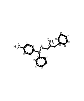 Cc1ccc(B(OCC(N)Cc2ccccc2)c2ccccc2)cc1